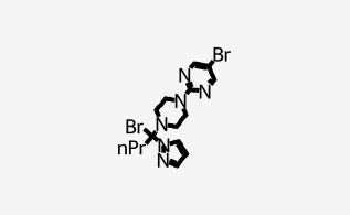 [CH2]CCC(Br)(N1CCN(c2ncc(Br)cn2)CC1)n1cccn1